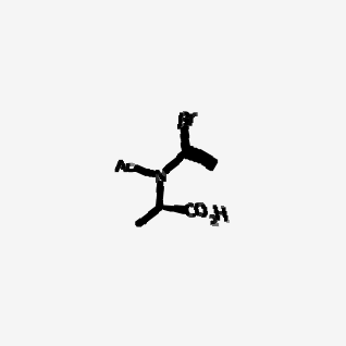 C=C(Br)N(C(C)=O)[C@H](C)C(=O)O